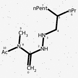 C=C(NNCC(CCC)CCCCC)N(C)C(C)=O